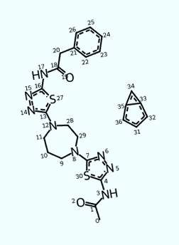 CC(=O)Nc1nnc(N2CCCN(c3nnc(NC(=O)Cc4ccccc4)s3)CC2)s1.c1cc2cc-2c1